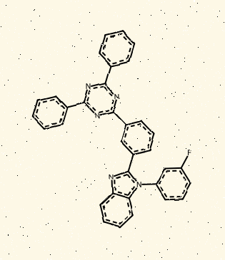 Fc1cccc(-n2c(-c3cccc(-c4nc(-c5ccccc5)nc(-c5ccccc5)n4)c3)nc3ccccc32)c1